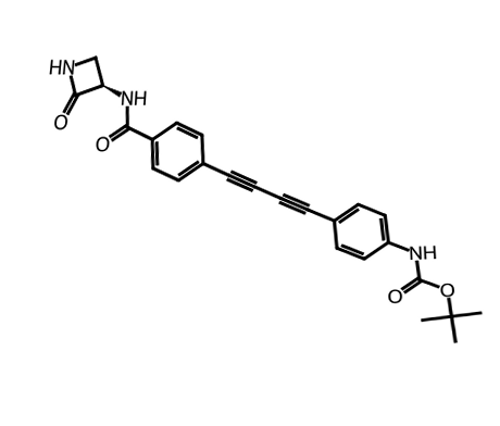 CC(C)(C)OC(=O)Nc1ccc(C#CC#Cc2ccc(C(=O)N[C@@H]3CNC3=O)cc2)cc1